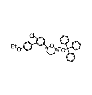 CCOc1ccc(-c2cc([C@@H]3CCC[C@H](COC(c4ccccc4)(c4ccccc4)c4ccccc4)O3)ccc2Cl)cc1